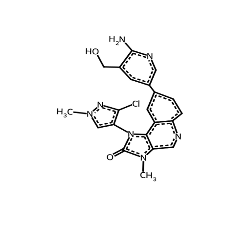 Cn1cc(-n2c(=O)n(C)c3cnc4ccc(-c5cnc(N)c(CO)c5)cc4c32)c(Cl)n1